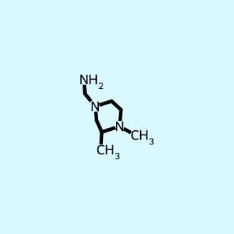 CC1CN(CN)CCN1C